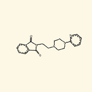 O=C1c2ccccc2C(=O)N1CCN1CCN(c2ccccn2)CC1